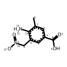 Cc1cc(C(=O)O)cc(C[N+](=O)[O-])c1N